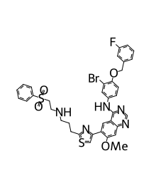 COc1cc2ncnc(Nc3ccc(OCc4cccc(F)c4)c(Br)c3)c2cc1-c1csc(CCCNCCS(=O)(=O)c2ccccc2)n1